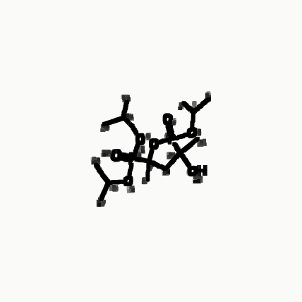 CC(C)OP1(=O)OC(C)(P(=O)(OC(C)C)OC(C)C)CC1(C)O